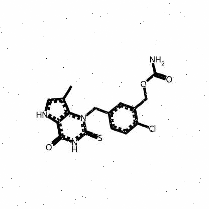 Cc1c[nH]c2c(=O)[nH]c(=S)n(Cc3ccc(Cl)c(COC(N)=O)c3)c12